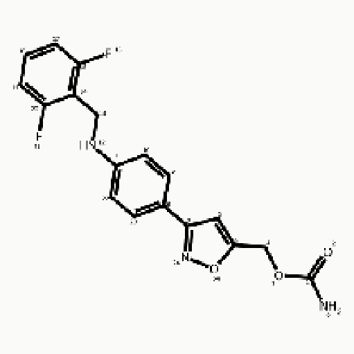 NC(=O)OCc1cc(-c2ccc(NCc3c(F)cccc3F)cc2)no1